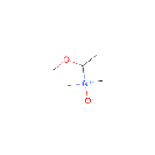 COC(C)[N+](C)(C)[O-]